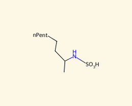 CCCCCCCC(C)NS(=O)(=O)O